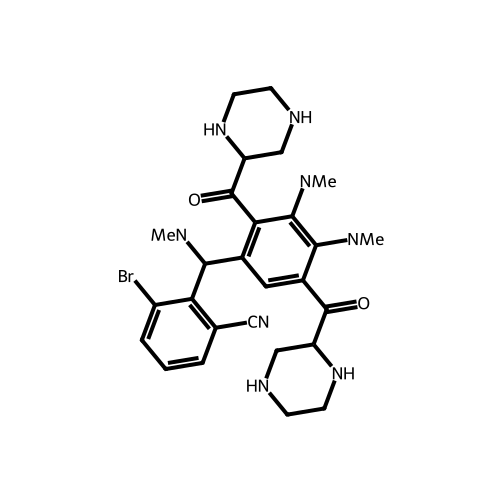 CNc1c(C(=O)C2CNCCN2)cc(C(NC)c2c(Br)cccc2C#N)c(C(=O)C2CNCCN2)c1NC